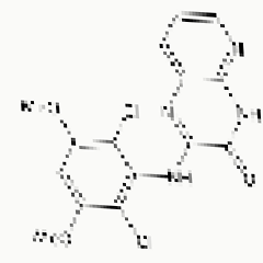 COc1cc(OC)c(Cl)c(Nc2nc3cccnc3[nH]c2=O)c1Cl